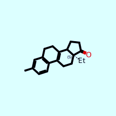 CC[C@]12CCC3=C(CCc4cc(C)ccc43)C1CCC2=O